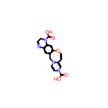 O=C(O)N1C=CN2Cc3cc4c(cc3OC=CC2=C1)N(C(=O)O)CC=N4